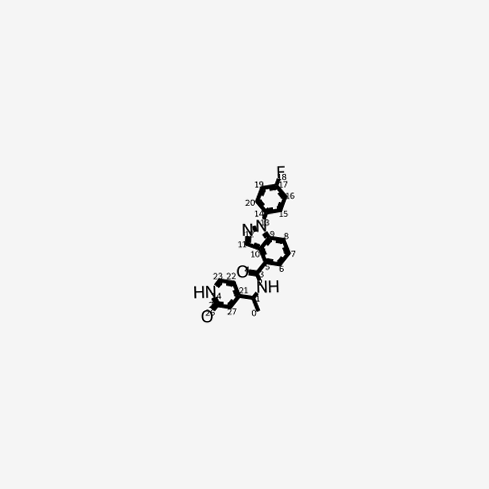 CC(NC(=O)c1cccc2c1cnn2-c1ccc(F)cc1)c1cc[nH]c(=O)c1